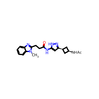 CC(=O)N[C@H]1C[C@@H](c2cc(NC(=O)CCc3nc4ccccc4n3C)[nH]n2)C1